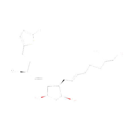 CO[C@H](C=C[C@@H]1[C@@H](CC=CCCCC(O)CO)[C@@H](O)C[C@H]1O)CCc1ccc(Cl)s1